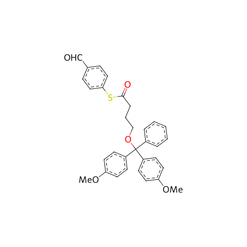 COc1ccc(C(OCCCC(=O)Sc2ccc(C=O)cc2)(c2ccccc2)c2ccc(OC)cc2)cc1